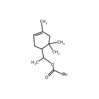 CCC(C)C(=O)OC(C)C1CC=C(C)CC1(C)C